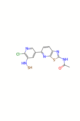 CC(=O)Nc1nc2ccc(-c3cnc(Cl)c(NS)c3)nc2s1